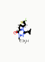 O=C(O)Cn1nc(C2CC2)n2c(cc3sc(F)cc32)c1=O